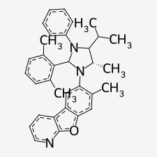 Cc1cc2oc3ncccc3c2cc1N1C(c2c(C)cccc2C)N(c2ccccc2)C(C(C)C)[C@@H]1C